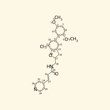 COc1ccc(OC)c(-c2cc(Cl)c3c(c2)CC(CNC(=O)C=Cc2ccncc2)O3)c1